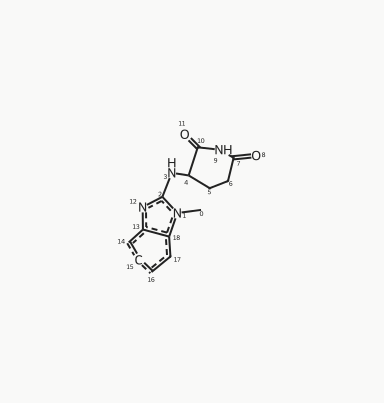 Cn1c(NC2CCC(=O)NC2=O)nc2ccccc21